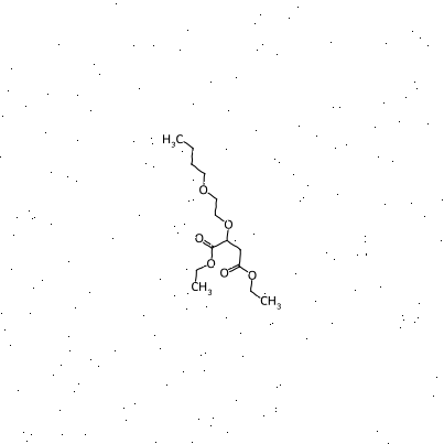 CCCCOCCOC(CC(=O)OCC)C(=O)OCC